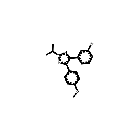 COc1ccc(-c2nn(C(C)C)nc2-c2cccc(Br)c2)cc1